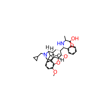 COc1ccc2c3c1O[C@H]1[C@@]4(OC)CCC2[C@@H]2[C@@H](C[C@@H]4[C@H](NC(C)C(=O)O)c4ccccc4)[C@@]31CCN2CC1CC1